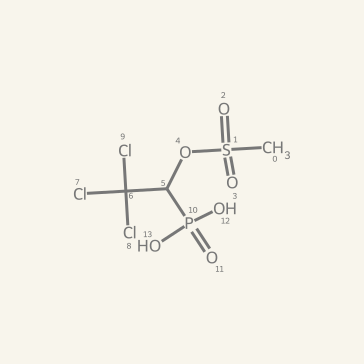 CS(=O)(=O)OC(C(Cl)(Cl)Cl)P(=O)(O)O